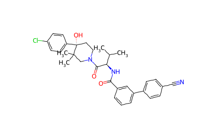 CC(C)[C@@H](NC(=O)c1cccc(-c2ccc(C#N)cc2)c1)C(=O)N1CC[C@](O)(c2ccc(Cl)cc2)C(C)(C)C1